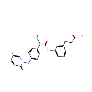 C[C@@H]([C@@H](C(=O)Nc1cccc(CCC(=O)OC(C)(C)C)c1)c1ccc(Cn2cc(C(F)(F)F)ccc2=O)cc1)C(F)(F)F